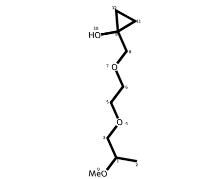 COC(C)COCCOCC1(O)CC1